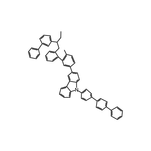 CCC(Cc1ccccc1-c1cc(-c2ccc3c(c2)c2ccccc2n3-c2ccc(-c3ccc(-c4ccccc4)cc3)cc2)ccc1C)c1cccc(-c2ccccc2)c1